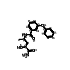 C[C@H](CN(O)C(N)=O)NC(=O)c1cccc(Oc2ccccc2)c1